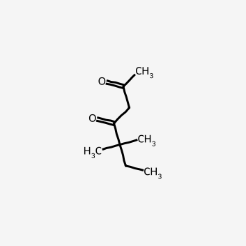 CCC(C)(C)C(=O)CC(C)=O